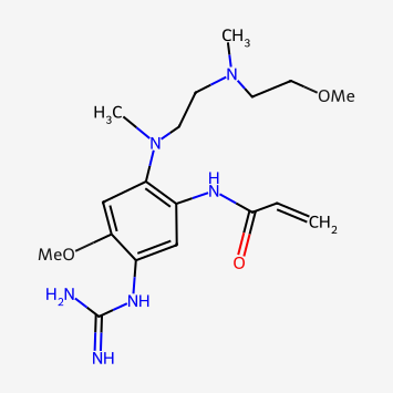 C=CC(=O)Nc1cc(NC(=N)N)c(OC)cc1N(C)CCN(C)CCOC